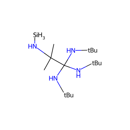 CC(C)(C)NC(NC(C)(C)C)(NC(C)(C)C)C(C)(C)N[SiH3]